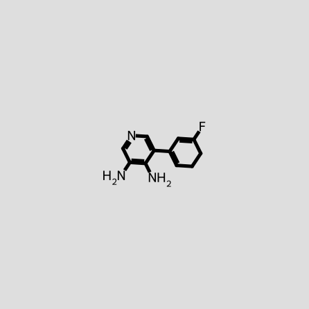 Nc1cncc(C2=CCCC(F)=C2)c1N